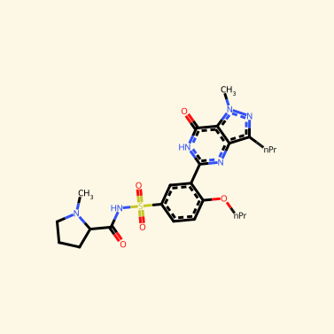 CCCOc1ccc(S(=O)(=O)NC(=O)C2CCCN2C)cc1-c1nc2c(CCC)nn(C)c2c(=O)[nH]1